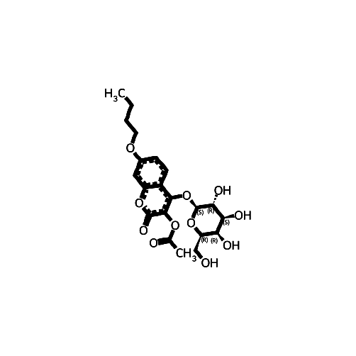 CCCCOc1ccc2c(O[C@@H]3O[C@H](CO)[C@H](O)[C@H](O)[C@H]3O)c(OC(C)=O)c(=O)oc2c1